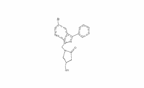 CCCC1CC(=O)N(Cn2nc(-c3ccccc3)c3cc(Br)cnc32)C1